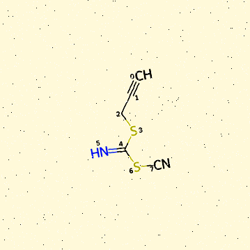 C#CCSC(=N)SC#N